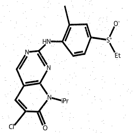 CC[S+]([O-])c1ccc(Nc2ncc3cc(Cl)c(=O)n(C(C)C)c3n2)c(C)c1